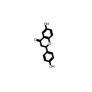 O=C1CC(c2ccc(O)cc2)Oc2ccc(O)cc21